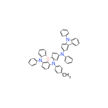 Cc1ccc(N2c3cc(N(c4ccccc4)c4ccc5c(c4)c4ccccc4n5-c4ccccc4)ccc3B3c4ccccc4N(c4ccccc4)c4cccc2c43)cc1